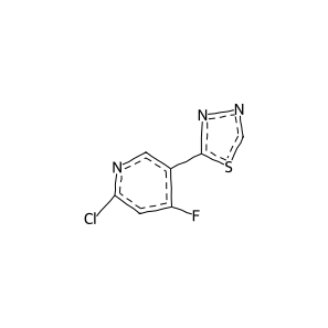 Fc1cc(Cl)ncc1-c1nncs1